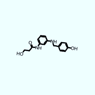 O=C(CCO)Nc1cccc(NCc2ccc(O)cc2)c1